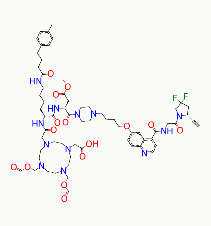 C#C[C@H]1CC(F)(F)CN1C(=O)CNC(=O)c1ccnc2ccc(OCCCCN3CCN(C(=O)[C@H](CC(=O)OC)NC(=O)[C@H](CCCCNC(=O)CCCc4ccc(C)cc4)NC(=O)CN4CCN(COC=O)CCN(COC=O)CCN(CC(=O)O)CC4)CC3)cc12